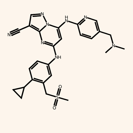 CN(C)Cc1ccc(Nc2cc(Nc3ccc(C4CC4)c(CS(C)(=O)=O)c3)nc3c(C#N)cnn23)nc1